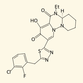 CCN1C(=O)c2c(O)c(=O)c(-c3nnc(Cc4cccc(Cl)c4F)s3)cn2N2CCCC[C@H]12